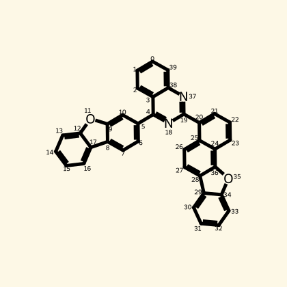 c1ccc2c(-c3ccc4c(c3)oc3ccccc34)nc(-c3cccc4c3ccc3c5ccccc5oc43)nc2c1